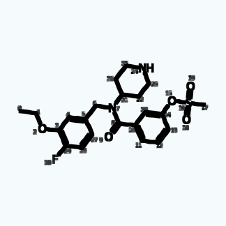 CCOc1cc(CN(C(=O)c2cccc(OS(C)(=O)=O)c2)C2CCNCC2)ccc1F